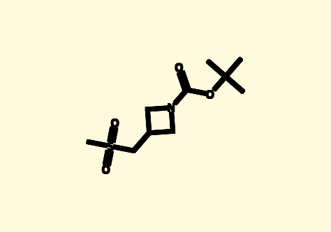 CC(C)(C)OC(=O)N1CC(CS(C)(=O)=O)C1